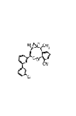 C[C@H]1c2cccc(C#N)c2OC/C(c2cccc(-c3cccc(Cl)c3)c2)=C\[C@@H]2C[C@@H]21